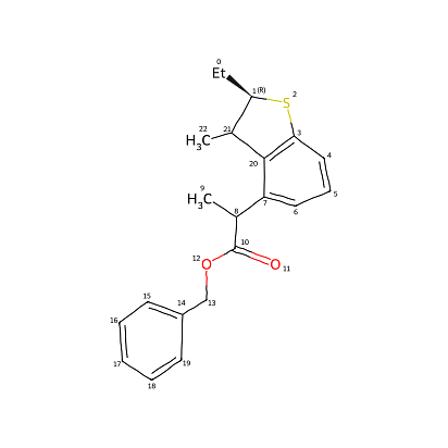 CC[C@H]1Sc2cccc(C(C)C(=O)OCc3ccccc3)c2C1C